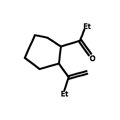 C=C(CC)C1CCCCC1C(=O)CC